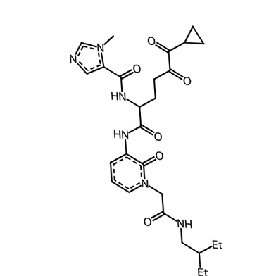 CCC(CC)CNC(=O)Cn1cccc(NC(=O)C(CCC(=O)C(=O)C2CC2)NC(=O)c2cncn2C)c1=O